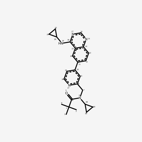 CC(C)(C)C(=O)N(Cc1cc(-c2ccc3ncnc(NC4CC4)c3c2)ccn1)C1CC1